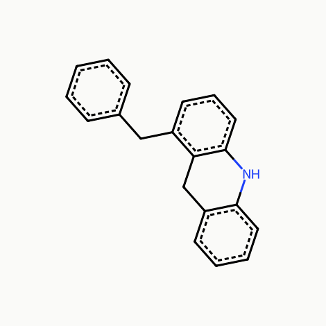 c1ccc(Cc2cccc3c2Cc2ccccc2N3)cc1